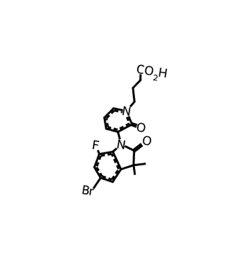 CC1(C)C(=O)N(c2cccn(CCCC(=O)O)c2=O)c2c(F)cc(Br)cc21